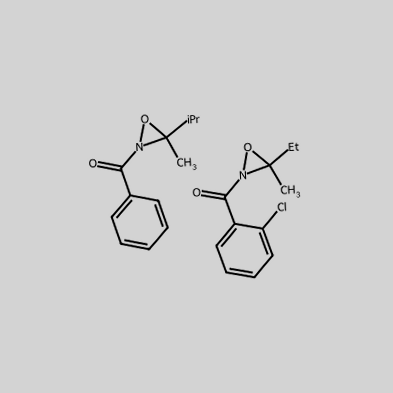 CC(C)C1(C)ON1C(=O)c1ccccc1.CCC1(C)ON1C(=O)c1ccccc1Cl